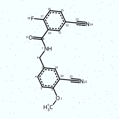 COc1ccc(CNC(=O)c2cc(C#N)ccc2F)cc1C#N